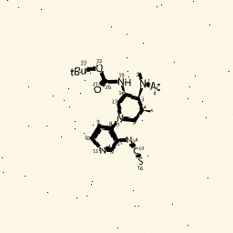 CC(=O)N(C)[C@H]1[C@@H](C)CN(c2ccncc2N=C=S)C[C@H]1NC(=O)OC(C)(C)C